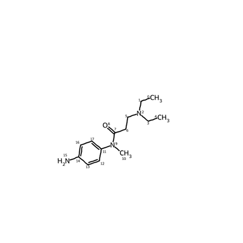 CCN(CC)CCC(=O)N(C)c1ccc(N)cc1